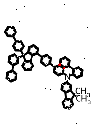 CC1(C)c2ccccc2-c2ccc(N(c3ccc(-c4ccc(-c5cccc6c5-c5ccccc5C6(c5ccc(-c6ccccc6)cc5)c5cccc(-c6ccccc6)c5)cc4)cc3)c3ccccc3-c3ccccc3)cc21